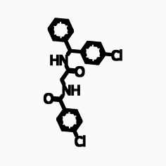 O=C(CNC(=O)c1ccc(Cl)cc1)NC(c1ccccc1)c1ccc(Cl)cc1